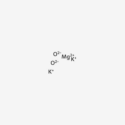 [K+].[K+].[Mg+2].[O-2].[O-2]